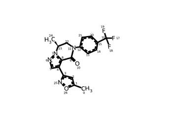 Cc1cc(-c2cnn3c2C(=O)N(c2ccc(C(F)(F)F)cc2)C[C@@H]3C)no1